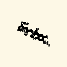 Bc1cc2ncn(CC(=O)CC3NCCC3OC(C)=O)c(=O)c2cc1I